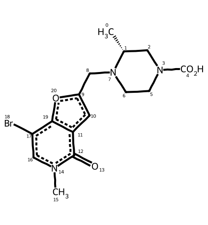 C[C@@H]1CN(C(=O)O)CCN1Cc1cc2c(=O)n(C)cc(Br)c2o1